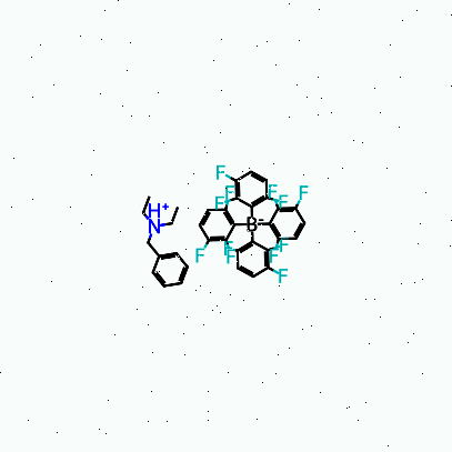 CC[NH+](CC)Cc1ccccc1.Fc1ccc(F)c([B-](c2c(F)ccc(F)c2F)(c2c(F)ccc(F)c2F)c2c(F)ccc(F)c2F)c1F